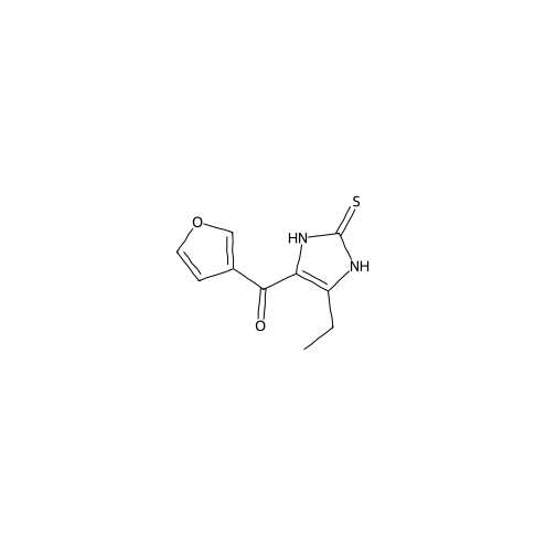 CCc1[nH]c(=S)[nH]c1C(=O)c1ccoc1